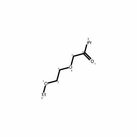 CCOCCOCC(=O)C(C)C